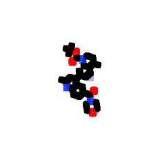 C=C(/C=C\C1=C(C)CCN(C(=O)OC(C)(C)C)C1)c1cc(C)nc2ccc(C(=O)N3CCOCC3)cc12